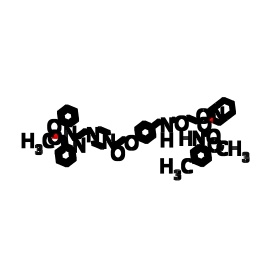 CCOc1ccccc1-n1c(CN2CCN(C(=O)COc3ccc(CNCOCCOCN4C5CCCC4CC(OC(=O)Nc4cc(C)ccc4OC)C5)cc3)CC2)nc2ccccc2c1=O